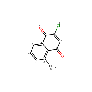 O=C1C(Cl)=CC(=O)c2c1cccc2[N+](=O)[O-]